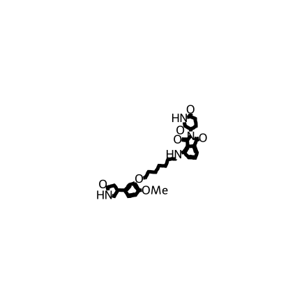 COc1ccc(C2CNC(=O)C2)cc1OCCCCCCCNc1cccc2c1C(=O)N(C1CCC(=O)NC1=O)C2=O